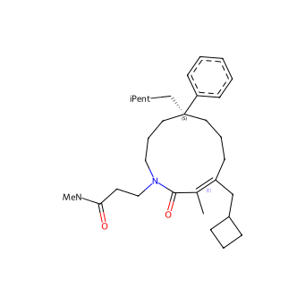 CCCC(C)C[C@]1(c2ccccc2)CCC/C(CC2CCC2)=C(/C)C(=O)N(CCC(=O)NC)CCC1